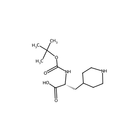 CC(C)(C)OC(=O)N[C@H](CC1CCNCC1)C(=O)O